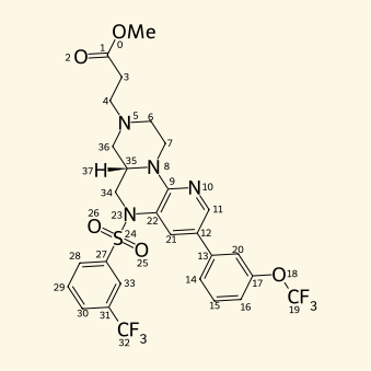 COC(=O)CCN1CCN2c3ncc(-c4cccc(OC(F)(F)F)c4)cc3N(S(=O)(=O)c3cccc(C(F)(F)F)c3)C[C@@H]2C1